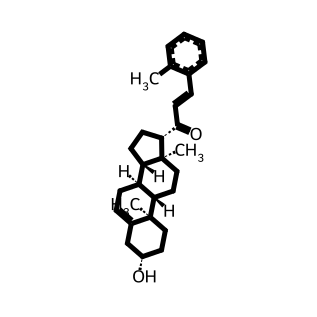 Cc1ccccc1/C=C/C(=O)[C@H]1CC[C@H]2[C@@H]3CC=C4C[C@@H](O)CC[C@]4(C)[C@H]3CC[C@]12C